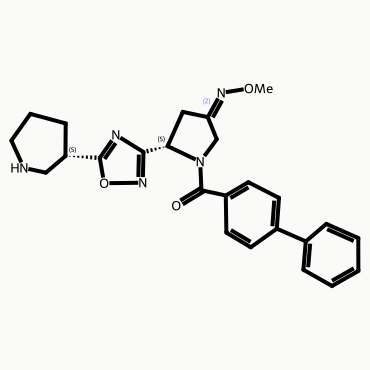 CO/N=C1/C[C@@H](c2noc([C@H]3CCCNC3)n2)N(C(=O)c2ccc(-c3ccccc3)cc2)C1